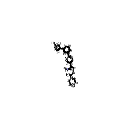 C/N=C1\C(c2cnc(-c3cccc(-c4cnn(C)c4)c3)nc2)=CN1CC(=O)N1CCOCC1